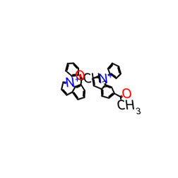 CC(=O)c1ccc2ccc[n+](-c3ccccc3)c2c1.CC(=O)c1cccc2ccc[n+](-c3ccccc3)c12